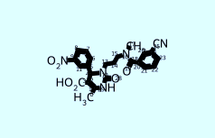 CC1=C(C(=O)O)C(c2cccc([N+](=O)[O-])c2)N(CCCN(C)C(=O)c2cccc(C#N)c2)C(=O)N1